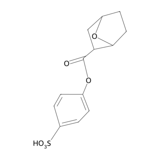 O=C(Oc1ccc(S(=O)(=O)O)cc1)C1CC2CCC1O2